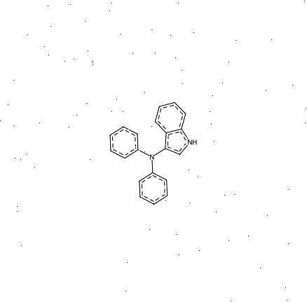 c1ccc(N(c2ccccc2)c2c[nH]c3ccccc23)cc1